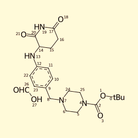 CC(C)(C)OC(=O)N1CCN(Cc2ccc(NC3CCC(=O)NC3=O)cc2)CC1.O=CO